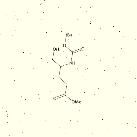 COC(=O)CCC(CO)NC(=O)OC(C)(C)C